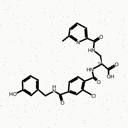 Cc1cccc(C(=O)NC[C@H](NC(=O)c2ccc(C(=O)NCc3cccc(O)c3)cc2Cl)C(=O)O)n1